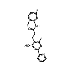 Cc1nc(-c2ccccn2)nc(O)c1CCC(=O)Nc1cc(F)ccc1F